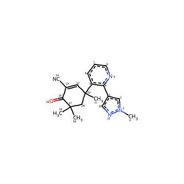 Cn1cc(-c2ncccc2C2(C)C=C(C#N)C(=O)C(C)(C)C2)cn1